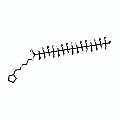 O=C(OCCOCCC1CCCC1)C(F)(F)C(F)(F)C(F)(F)C(F)(F)C(F)(F)C(F)(F)C(F)(F)C(F)(F)C(F)(F)C(F)(F)C(F)(F)C(F)(F)C(F)(F)C(F)(F)C(F)(F)F